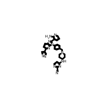 N#Cc1nccc(NC2CCN(Cc3ccc(-n4c(-c5cccnc5N)nc5ccc(-c6cnsc6)nc54)cc3)CC2)n1